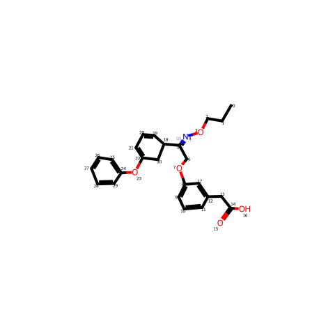 CCCO/N=C(\COc1cccc(CC(=O)O)c1)C1C=CC=C(Oc2ccccc2)C1